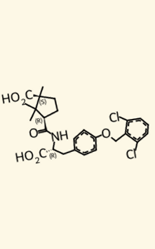 CC1(C)[C@H](C(=O)N[C@H](Cc2ccc(OCc3c(Cl)cccc3Cl)cc2)C(=O)O)CC[C@]1(C)C(=O)O